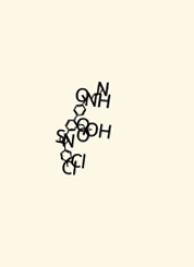 CN(C)CCNC(=O)c1ccc(-c2ccc(-c3nc(-c4ccc(Cl)c(Cl)c4)cs3)cc2OC(=O)O)cc1